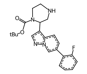 CC(C)(C)OC(=O)N1CCNCC1c1cnn2cc(-c3ccccc3F)ccc12